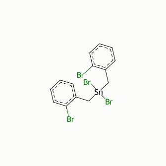 Brc1ccccc1[CH2][Sn]([Br])([Br])[CH2]c1ccccc1Br